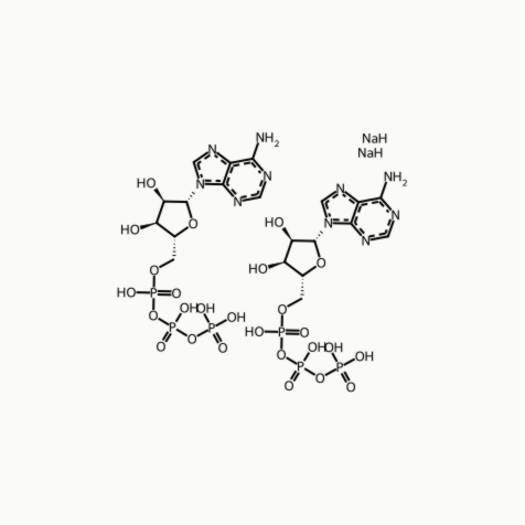 Nc1ncnc2c1ncn2[C@@H]1O[C@H](COP(=O)(O)OP(=O)(O)OP(=O)(O)O)[C@@H](O)[C@H]1O.Nc1ncnc2c1ncn2[C@@H]1O[C@H](COP(=O)(O)OP(=O)(O)OP(=O)(O)O)[C@@H](O)[C@H]1O.[NaH].[NaH]